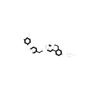 COc1ccc2c(c1)CCn1c-2cc(OCCc2ccc(Oc3ccc(Cl)c(C(F)(F)F)c3)nc2)nc1=O